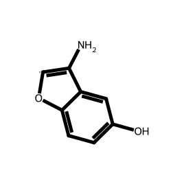 Nc1[c]oc2ccc(O)cc12